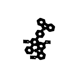 N#Cc1ccc2c(c1)c1cccc(C#N)c1n2-c1ccccc1-c1ccc(-c2ccc(-n3c4ccccc4c4ccccc43)cc2)cc1C#N